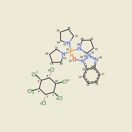 Cl[C@H]1[C@H](Cl)[C@@H](Cl)[C@@H](Cl)[C@H](Cl)[C@H]1Cl.c1ccc2c(c1)nnn2O[PH](N1CCCC1)(N1CCCC1)N1CCCC1